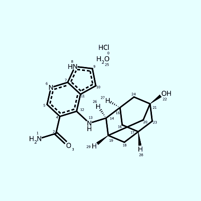 Cl.NC(=O)c1cnc2[nH]ccc2c1N[C@H]1[C@@H]2C[C@H]3C[C@H]1C[C@@](O)(C3)C2.O